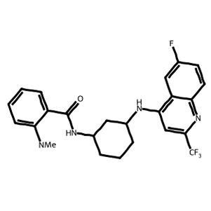 CNc1ccccc1C(=O)NC1CCCC(Nc2cc(C(F)(F)F)nc3ccc(F)cc23)C1